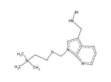 CC(C)NCc1cn(COCC[Si](C)(C)C)c2ncccc12